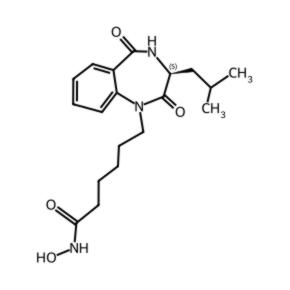 CC(C)C[C@@H]1NC(=O)c2ccccc2N(CCCCCC(=O)NO)C1=O